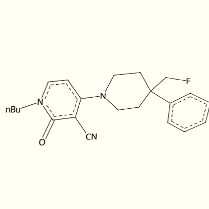 CCCCn1ccc(N2CCC(CF)(c3ccccc3)CC2)c(C#N)c1=O